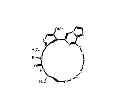 CCN1C(=O)N[C@@H](C)/C=C/CCCOCCCOc2nc(cn3ccnc23)-c2cc(ncc2OC)[C@H]1C